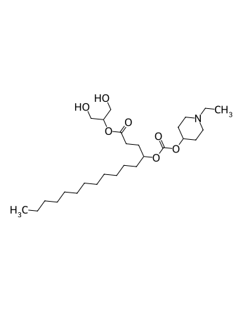 CCCCCCCCCCCCC(CCC(=O)OC(CO)CO)OC(=O)OC1CCN(CC)CC1